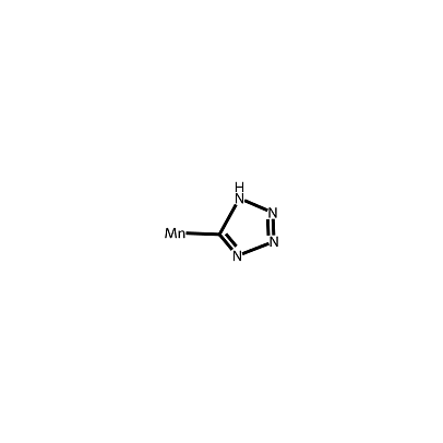 [Mn][c]1nnn[nH]1